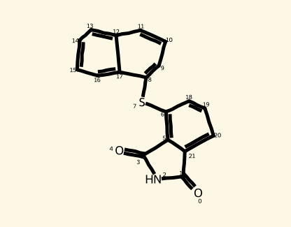 O=C1NC(=O)c2c(Sc3cccc4ccccc34)cccc21